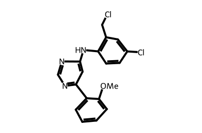 COc1ccccc1-c1cc(Nc2ccc(Cl)cc2CCl)ncn1